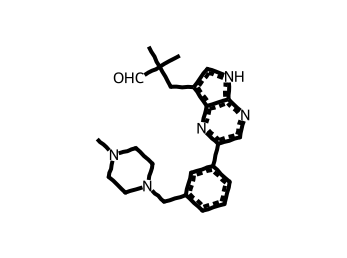 CN1CCN(Cc2cccc(-c3cnc4[nH]cc(CC(C)(C)C=O)c4n3)c2)CC1